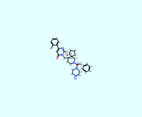 Cc1ccccc1-c1cc(=O)n(C[C@]2(O)CCN(C(=O)N3CCNC[C@H]3c3ccccc3)CC23CCCC3)cn1